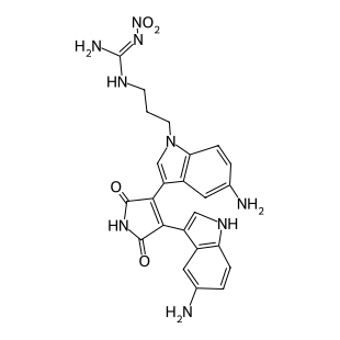 NC(=N[N+](=O)[O-])NCCCn1cc(C2=C(c3c[nH]c4ccc(N)cc34)C(=O)NC2=O)c2cc(N)ccc21